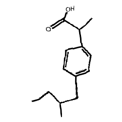 CCC(C)Cc1ccc(C(C)C(=O)O)cc1